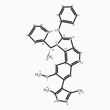 COc1cc2c(cc1-c1c(C)noc1C)ncc1nc(Oc3ccccc3)n([C@H](C)c3ccccn3)c12